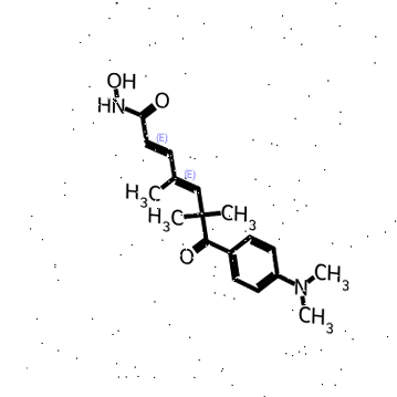 CC(/C=C/C(=O)NO)=C\C(C)(C)C(=O)c1ccc(N(C)C)cc1